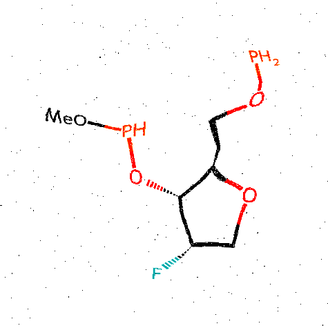 COPO[C@H]1[C@@H](F)CO[C@@H]1COP